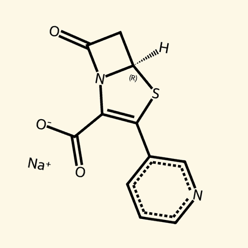 O=C([O-])C1=C(c2cccnc2)S[C@@H]2CC(=O)N12.[Na+]